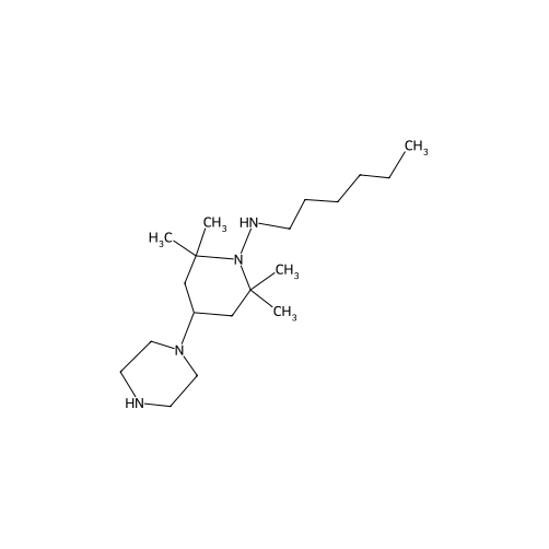 CCCCCCNN1C(C)(C)CC(N2CCNCC2)CC1(C)C